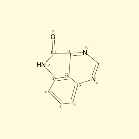 O=C1Nc2cccc3ncnc1c23